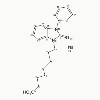 O=C(O)CCCCCCCn1c(=O)n(-c2ccccc2)c2ccccc21.[Na]